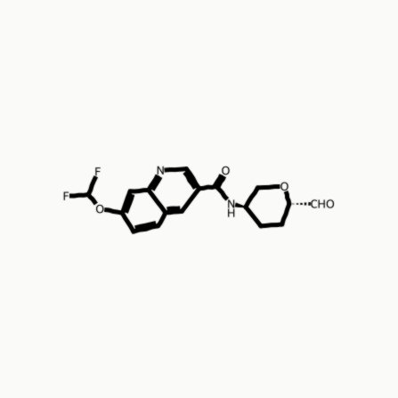 O=C[C@@H]1CC[C@@H](NC(=O)c2cnc3cc(OC(F)F)ccc3c2)CO1